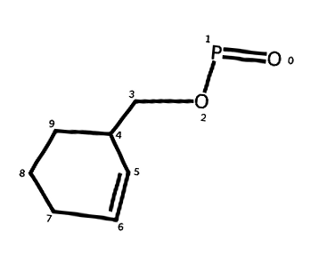 O=POCC1C=CCCC1